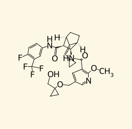 COc1ncc(COC2(CO)CC2)cc1C(=O)N[C@H]1[C@@H](C(=O)Nc2ccc(F)c(C(F)(F)F)c2)[C@H]2CC[C@@H]1/C2=C\C1CC1